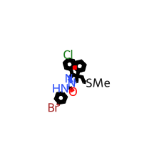 CSCCC1(c2ccccc2)CN(C(=O)Nc2ccc(Br)cc2)N=C1c1ccc(Cl)cc1